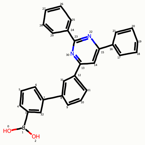 OB(O)c1cccc(-c2cccc(-c3cc(-c4ccccc4)nc(-c4ccccc4)n3)c2)c1